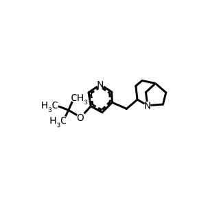 CC(C)(C)Oc1cncc(CC2CCC3CCN2C3)c1